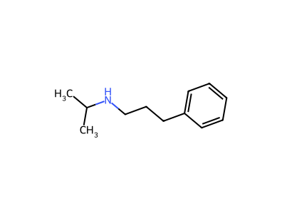 CC(C)NCCCc1ccccc1